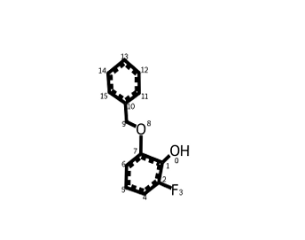 Oc1c(F)cccc1OCc1ccccc1